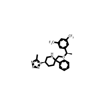 Cc1nnnn1[C@@H]1CCC(CO[C@H](C)c2cc(C(F)(F)F)cc(C(F)(F)F)c2)(c2ccccc2)NC1